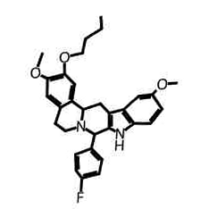 CCCCOc1cc2c(cc1OC)CCN1C2Cc2c([nH]c3ccc(OC)cc23)C1c1ccc(F)cc1